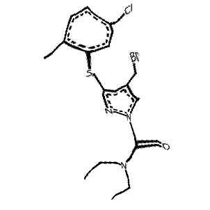 CCN(CC)C(=O)n1cc(Br)c(Sc2cc(Cl)ccc2C)n1